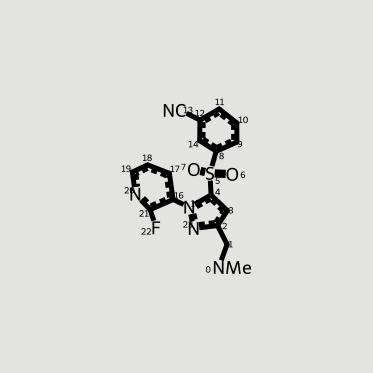 CNCc1cc(S(=O)(=O)c2cccc(C#N)c2)n(-c2cccnc2F)n1